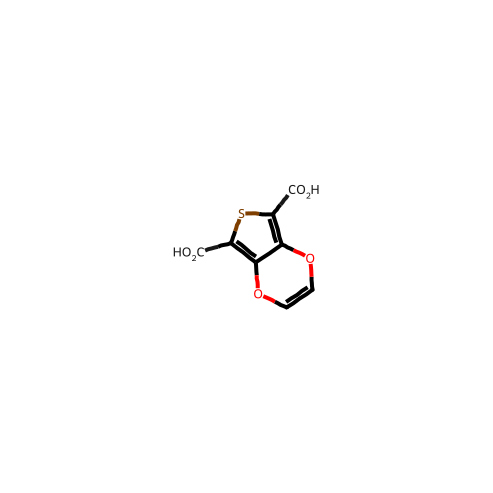 O=C(O)c1sc(C(=O)O)c2c1OC=CO2